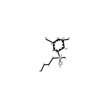 CCCC[Si](C)(Cl)c1cc(C)cc(C)c1